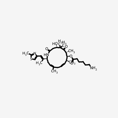 C/C1=C/C[C@@H](/C(C)=C/c2csc(C)n2)NC(=O)C[C@H](O)C(C)(C)C(=O)[C@H](C)[C@@H](OC(=O)CCCCCN)[C@@H](C)/C=C\C1